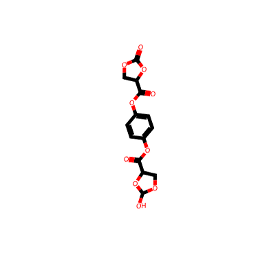 O=C1OCC(C(=O)Oc2ccc(OC(=O)C3COC(O)O3)cc2)O1